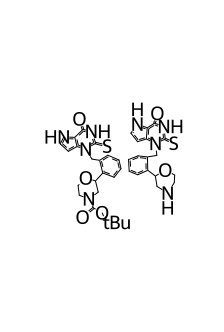 CC(C)(C)OC(=O)N1CCOC(c2ccccc2Cn2c(=S)[nH]c(=O)c3[nH]ccc32)C1.O=c1[nH]c(=S)n(Cc2ccccc2C2CNCCO2)c2cc[nH]c12